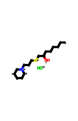 CCCCCCC(O)CSCCCN1CCCCC1.Cl